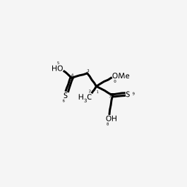 COC(C)(CC(O)=S)C(O)=S